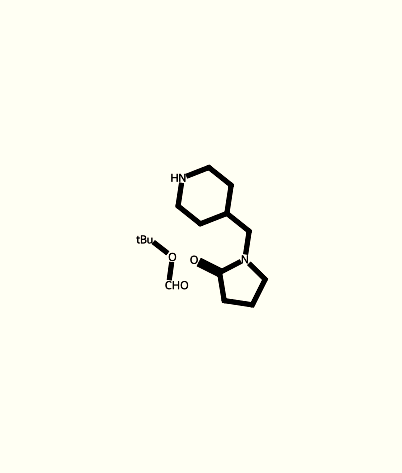 CC(C)(C)OC=O.O=C1CCCN1CC1CCNCC1